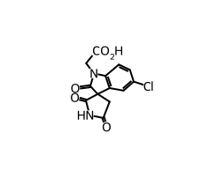 O=C(O)CN1C(=O)C2(CC(=O)NC2=O)c2cc(Cl)ccc21